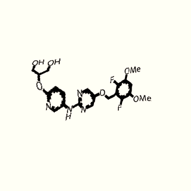 COc1cc(OC)c(F)c(COc2cnc(Nc3ccc(OC(CO)CO)nc3)nc2)c1F